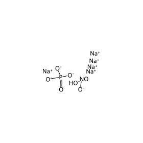 O=N[O-].O=P([O-])([O-])[O-].[Na+].[Na+].[Na+].[Na+].[Na+].[OH-]